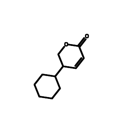 O=C1C=CC(C2CCCCC2)CO1